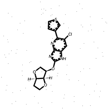 Clc1cc2[nH]c(O[C@@H]3CO[C@@H]4CCO[C@@H]43)nc2nc1-c1ccsc1